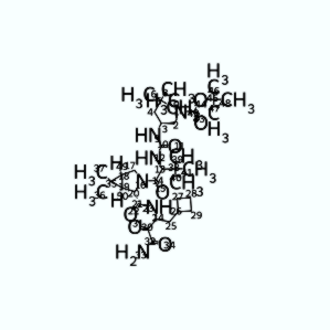 CN(C[C@H](CC(C)(C)C)NC(=O)N[C@H](C(=O)N1C[C@H]2[C@@H]([C@H]1C(=O)NC(CC1CCC1)C(=O)C(N)=O)C2(C)C)C(C)(C)C)C(=O)OC(C)(C)C